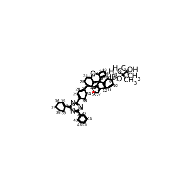 CC(C)(O)C(C)(C)OBC1C=CC2=C(C1)C1(C3=CC=CCC3OC3CCC(C4=CC=C(c5nc(C6=CCCCC6)nc(-c6ccccc6)n5)CC4)CC31)C1CCCCC21